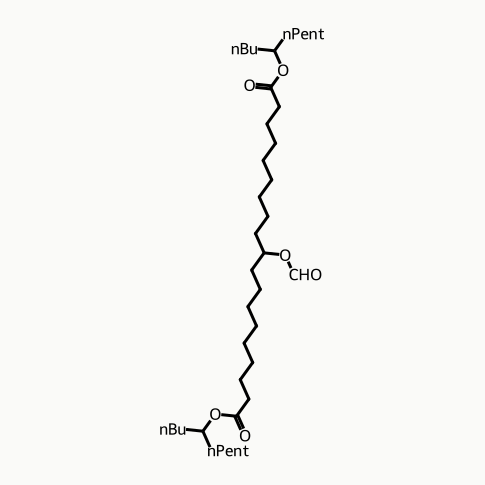 CCCCCC(CCCC)OC(=O)CCCCCCCCC(CCCCCCCCC(=O)OC(CCCC)CCCCC)OC=O